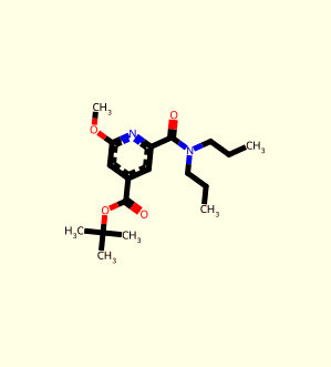 CCCN(CCC)C(=O)c1cc(C(=O)OC(C)(C)C)cc(OC)n1